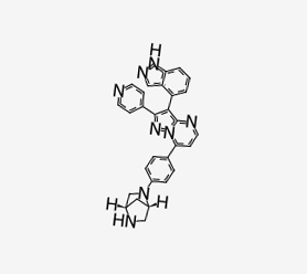 c1cc(-c2c(-c3ccncc3)nn3c(-c4ccc(N5C[C@@H]6C[C@H]5CN6)cc4)ccnc23)c2cn[nH]c2c1